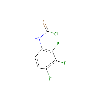 Fc1ccc(NC(=S)Cl)c(F)c1F